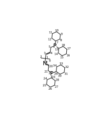 CC(C)(C=CCP(C1CCCCC1)C1CCCCC1)N=CCP(C1CCCCC1)C1CCCCC1